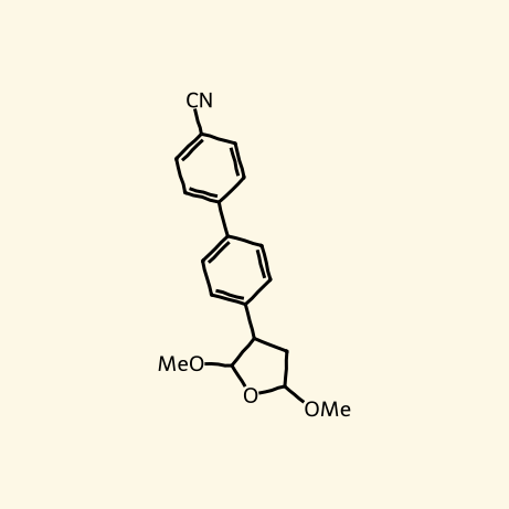 COC1CC(c2ccc(-c3ccc(C#N)cc3)cc2)C(OC)O1